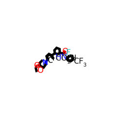 O=C(Nc1ccc(C(F)(F)F)cc1F)C1CCCC(c2ccc(N3CCC4(CC3)OCCO4)cc2)C1C(=O)O